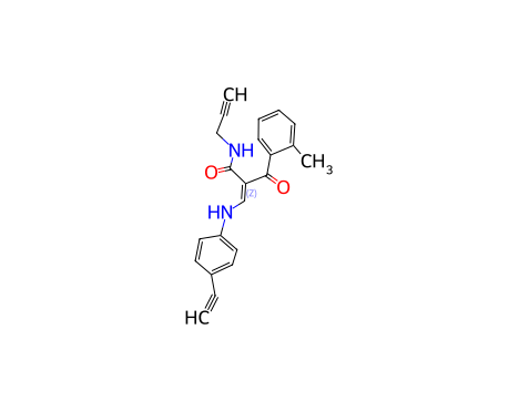 C#CCNC(=O)/C(=C\Nc1ccc(C#C)cc1)C(=O)c1ccccc1C